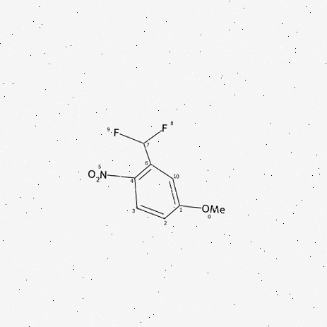 COc1ccc([N+](=O)[O-])c(C(F)F)c1